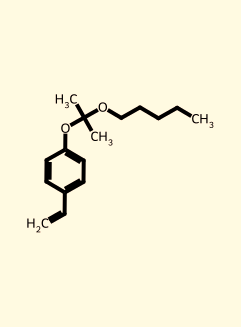 C=Cc1ccc(OC(C)(C)OCCCCC)cc1